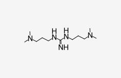 CN(C)CCCNC(=N)NCCCN(C)C